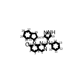 O=c1ccc2cnc(N(c3ccccc3)c3cn[nH]c3)nc2n1C1CCc2ccccc21